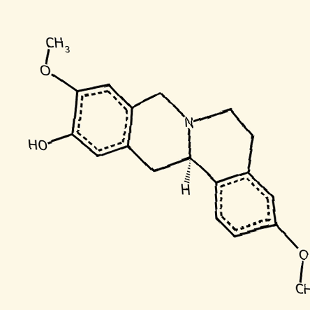 COc1ccc2c(c1)CCN1Cc3cc(OC)c(O)cc3C[C@H]21